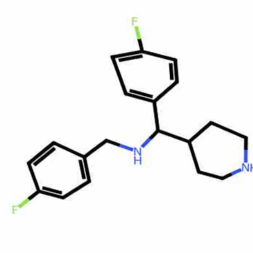 Fc1ccc(CNC(c2ccc(F)cc2)C2CCNCC2)cc1